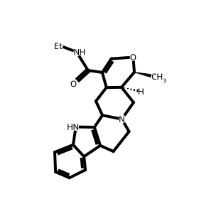 CCNC(=O)C1=CO[C@@H](C)[C@H]2CN3CCc4c([nH]c5ccccc45)C3CC12